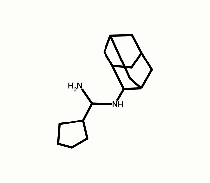 NC(NC1C2CC3CC(C2)CC1C3)C1CCCC1